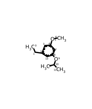 CCc1cc(OC)cc(OC(C)C)c1